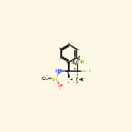 CC(C)(C)[S+]([O-])N[C@](C)(c1ccccc1F)[C@@](C)(F)C=O